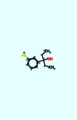 CCC(O)(CC)c1cccc(S)c1